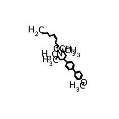 C=CCC/C=C\CCON1C(C)(C)CC(c2ccc(-c3ccc(OC)cc3)cc2)CC1(C)C